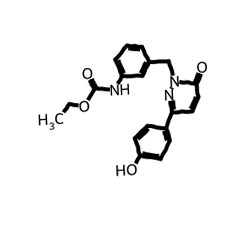 CCOC(=O)Nc1cccc(Cn2nc(-c3ccc(O)cc3)ccc2=O)c1